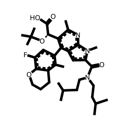 Cc1nc2c(cc(C(=O)N(CCC(C)C)CCC(C)C)n2C)c(-c2cc(F)c3c(c2C)CCCO3)c1[C@H](OC(C)(C)C)C(=O)O